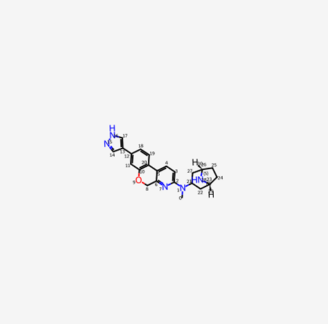 CN(c1ccc2c(n1)COc1cc(-c3cn[nH]c3)ccc1-2)C1C[C@H]2CC[C@@H](C1)N2